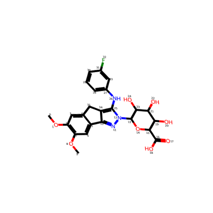 COc1cc2c(cc1OC)-c1nn(C3OC(C(=O)O)C(O)C(O)C3O)c(Nc3cccc(F)c3)c1C2